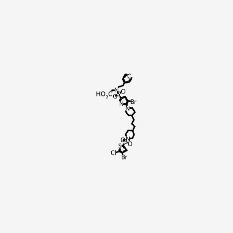 O=C(O)CN(CCc1ccccc1)S(=O)(=O)c1cnc(N2CCC(CCCC3CCN(S(=O)(=O)c4cc(Br)c(Cl)s4)CC3)CC2)c(Br)c1